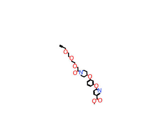 C#CCOCCOCCOCC(=O)N1CCC(Oc2cccc(Oc3ccc(C(=O)OC)cn3)c2)CC1